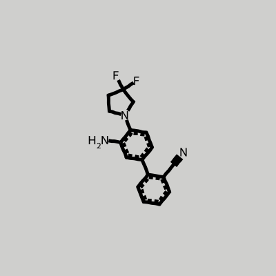 N#Cc1ccccc1-c1ccc(N2CCC(F)(F)C2)c(N)c1